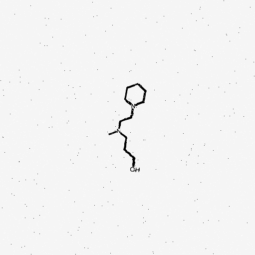 CN(CCCO)CCN1CCCCC1